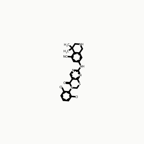 CC1(C)CNCc2cc(Nc3ncc4c(n3)SCN(c3c(Cl)cccc3Cl)C4=O)cc(C#N)c21